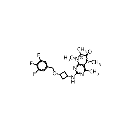 Cc1nc(N[C@H]2C[C@H](OCc3cc(F)c(F)c(F)c3)C2)nc2c1N(C)C(=O)[C@H](C)N2C